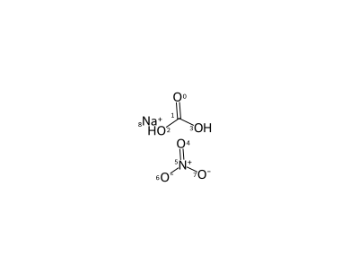 O=C(O)O.O=[N+]([O-])[O-].[Na+]